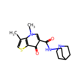 Cc1csc2c(=O)c(C(=O)NC3CC4CCN3CC4)cn(C)c12